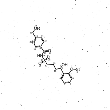 CCOc1ccccc1C(O)CCCS(=O)(=O)NC(=O)c1ccc(CO)nc1